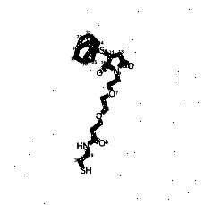 O=C(CCOCCOCCN1C(=O)CC(SC23CC4CC(CC(C4)C2)C3)C1=O)NCCS